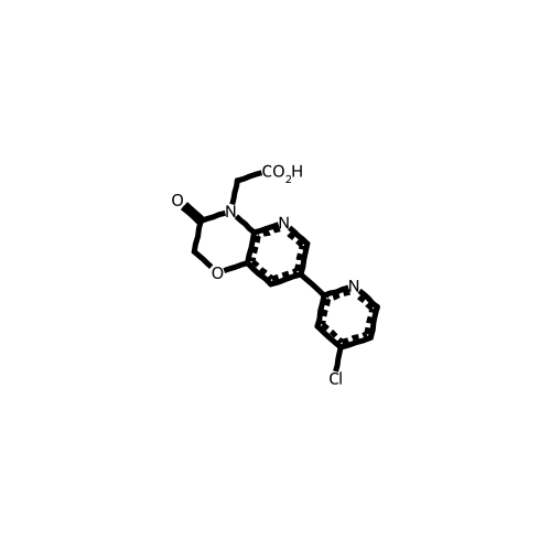 O=C(O)CN1C(=O)COc2cc(-c3cc(Cl)ccn3)cnc21